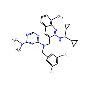 Cc1cccc2cc(CN(Cc3cc(C(F)(F)F)cc(C(F)(F)F)c3)c3ncnc(N(C)C)n3)c(NC(C3CC3)C3CC3)nc12